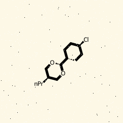 CCC[C@H]1CO[C@H]([C@H]2CC[C@H](Cl)CC2)OC1